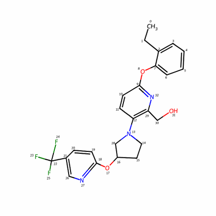 CCc1ccccc1Oc1ccc(N2CCC(Oc3ccc(C(F)(F)F)cn3)C2)c(CO)n1